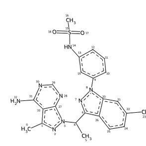 Cc1nn(C(C)c2nn(-c3cccc(NS(C)(=O)=O)c3)c3cc(Cl)ccc23)c2ncnc(N)c12